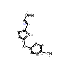 CO/C=C/c1ccc(Oc2ccc(C#N)cc2)s1